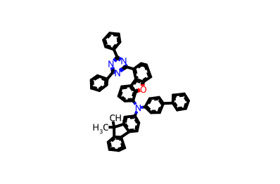 CC1(C)c2ccccc2-c2ccc(N(c3ccc(-c4ccccc4)cc3)c3cccc4c3oc3cccc(-c5nc(-c6ccccc6)nc(-c6ccccc6)n5)c34)cc21